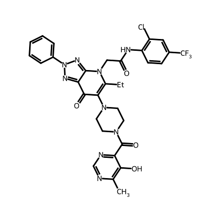 CCc1c(N2CCN(C(=O)c3ncnc(C)c3O)CC2)c(=O)c2nn(-c3ccccc3)nc2n1CC(=O)Nc1ccc(C(F)(F)F)cc1Cl